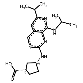 CC(C)Nc1nc(C(C)C)cc2cnc(N[C@@H]3CC[C@H](C(=O)O)C3)nc12